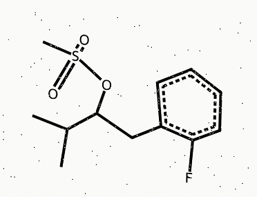 CC(C)C(Cc1ccccc1F)OS(C)(=O)=O